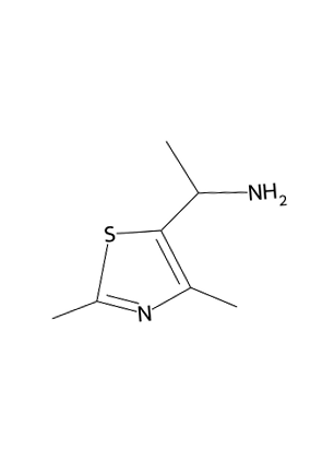 Cc1nc(C)c(C(C)N)s1